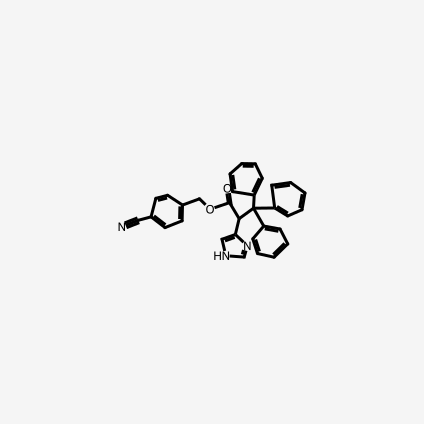 N#Cc1ccc(COC(=O)C(c2c[nH]cn2)C(c2ccccc2)(c2ccccc2)c2ccccc2)cc1